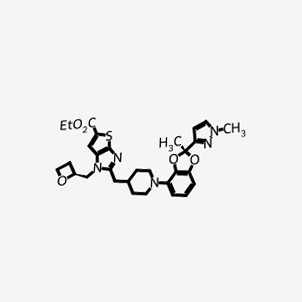 CCOC(=O)c1cc2c(nc(CC3CCN(c4cccc5c4O[C@](C)(c4ccn(C)n4)O5)CC3)n2C[C@@H]2CCO2)s1